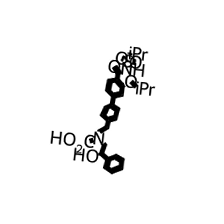 CC(C)Oc1cc(-c2ccc(CCN(C[C@H](O)c3ccccc3)C(=O)O)cc2)ccc1C(=O)NS(=O)(=O)C(C)C